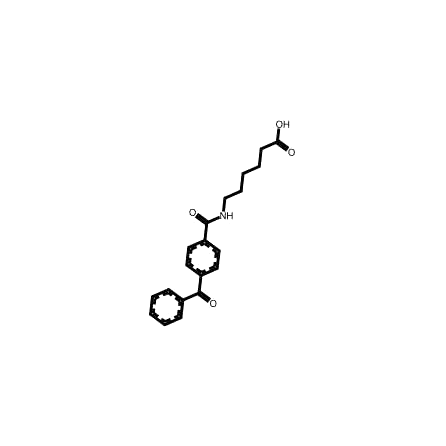 O=C(O)CCCCCNC(=O)c1ccc(C(=O)c2ccccc2)cc1